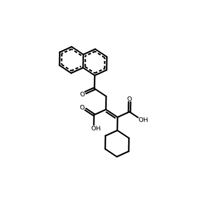 O=C(O)C(CC(=O)c1cccc2ccccc12)=C(C(=O)O)C1CCCCC1